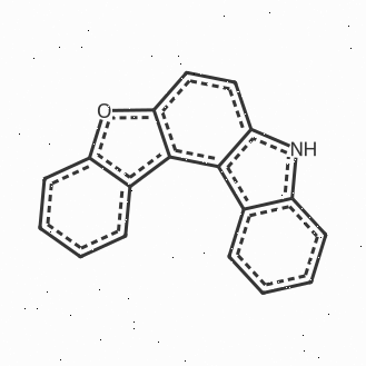 c1ccc2c(c1)[nH]c1ccc3oc4ccccc4c3c12